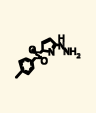 Cc1ccc(S(=O)(=O)C2C=CC(NN)=N2)cc1